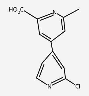 Cc1cc(-c2ccnc(Cl)c2)cc(C(=O)O)n1